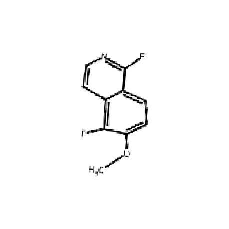 COc1ccc2c(F)nccc2c1F